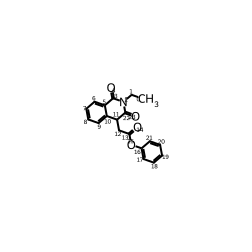 CCN1C(=O)c2ccccc2C(CC(=O)Oc2ccccc2)C1=O